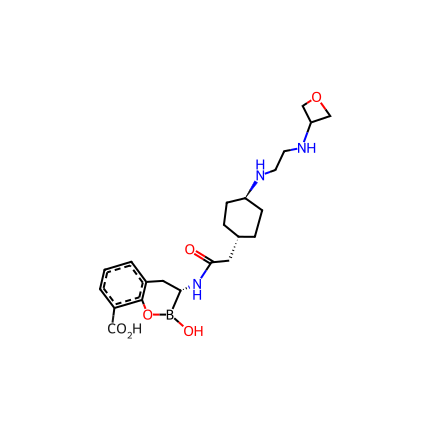 O=C(C[C@H]1CC[C@H](NCCNC2COC2)CC1)N[C@H]1Cc2cccc(C(=O)O)c2OB1O